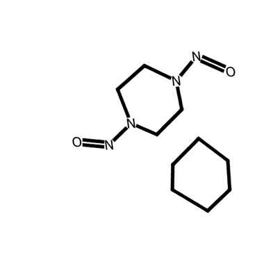 C1CCCCC1.O=NN1CCN(N=O)CC1